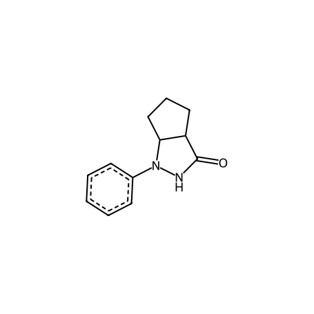 O=C1NN(c2ccccc2)C2CCCC12